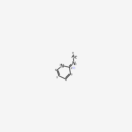 CC(=O)/N=C1/C=CC=C[N]1